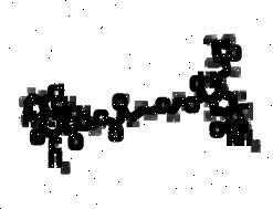 CC(C(=O)c1cccc(Cl)c1)N(C(=O)OCOC(=O)C(=O)CCCOCCOC(=O)c1cc(S(N)(=O)=O)c(Cl)cc1NCc1ccco1)C(C)(C)C